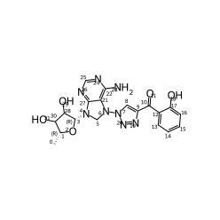 C[C@H]1O[C@@H](N2CN(n3cc(C(=O)c4ccccc4O)nn3)c3c(N)ncnc32)C(O)C1O